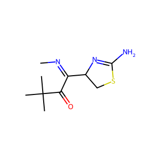 C/N=C(\C(=O)C(C)(C)C)C1CSC(N)=N1